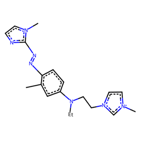 CCN(CCn1cc[n+](C)c1)c1ccc(N=Nc2nccn2C)c(C)c1